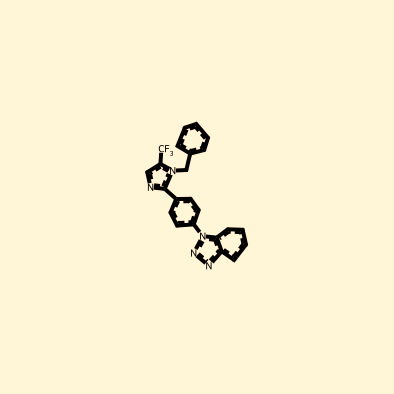 FC(F)(F)c1cnc(-c2ccc(-n3nnc4ccccc43)cc2)n1Cc1ccccc1